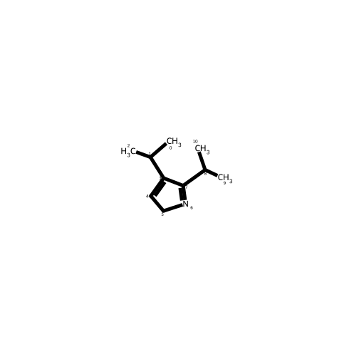 CC(C)C1=CCN=C1C(C)C